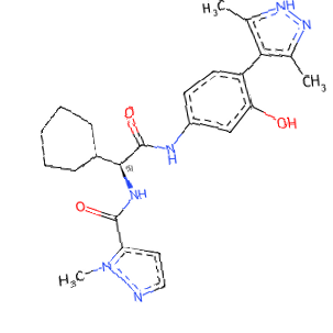 Cc1n[nH]c(C)c1-c1ccc(NC(=O)[C@@H](NC(=O)c2ccnn2C)C2CCCCC2)cc1O